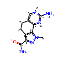 Cn1nc(C(N)=O)c2c1-c1nc(N)ncc1CC2